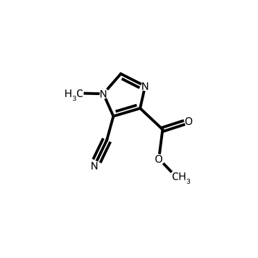 COC(=O)c1ncn(C)c1C#N